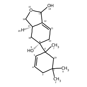 CC1(C)CC=CC(C)([C@]2(O)CC=C3C(O)OC[C@@H]3C2)C1